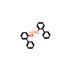 c1ccc(-c2ccccc2OPOc2ccccc2-c2ccccc2)cc1